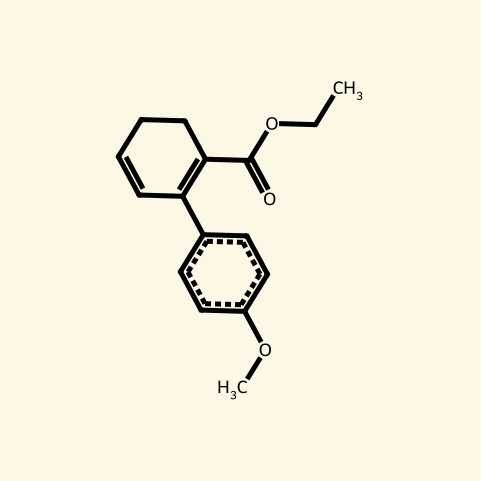 CCOC(=O)C1=C(c2ccc(OC)cc2)C=CCC1